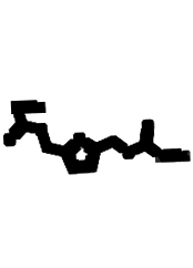 CC(=O)NC(=O)OCc1ccc(COC(=O)NC(C)=O)o1